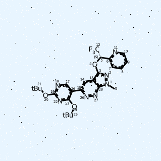 Cn1nc(O[C@@H](c2ccccn2)C(F)(F)F)c2cc(-c3cnc(OC(C)(C)C)nc3OC(C)(C)C)nnc21